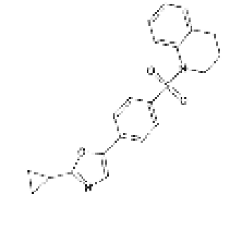 O=S(=O)(c1ccc(-c2cnc(C3CC3)o2)cc1)N1CCCc2ccccc21